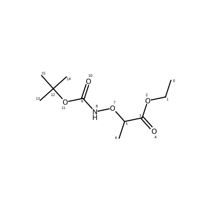 CCOC(=O)C(C)ONC(=O)OC(C)(C)C